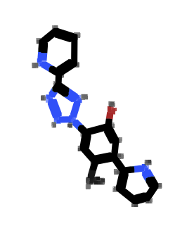 COc1cc(-n2nnc(-c3ccccn3)n2)c(Br)cc1-c1ccccn1